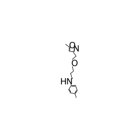 Cc1ccc(NCCCCOCCc2cc(C)on2)cc1